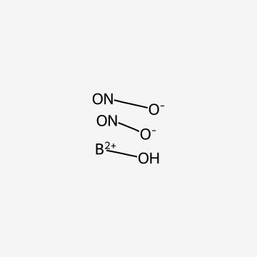 O=N[O-].O=N[O-].[B+2]O